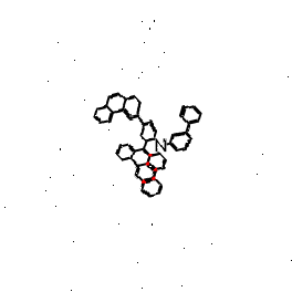 c1ccc(-c2ccc(N(c3cccc(-c4ccccc4)c3)c3ccc(-c4ccc5ccc6ccccc6c5c4)cc3-c3cc4ccccc4c4ccccc34)cc2)cc1